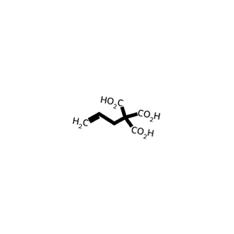 C=CCC(C(=O)O)(C(=O)O)C(=O)O